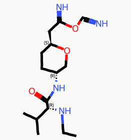 CCN[C@@H](C(=O)N[C@@H]1CC[C@@H](CC(=N)OC=N)OC1)C(C)C